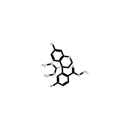 COC(=O)c1ccc(Br)cc1[C@]1(C(OC)OC)CCOc2cc(Cl)ccc21